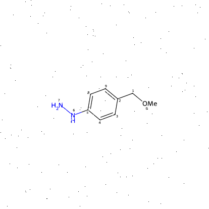 COCc1ccc(NN)cc1